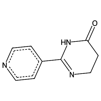 O=C1CCN=C(c2ccncc2)N1